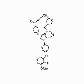 CC#CC(=O)N1CC[C@@H](c2nc(-c3ccc(Oc4cccc(OC)c4F)cc3)c3cncc(OC4CCOC4)n23)C1